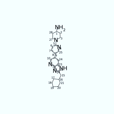 NC1CCN(c2ccc(-c3cnc4nc(CC5CCCCC5)[nH]c4c3)cn2)CC1